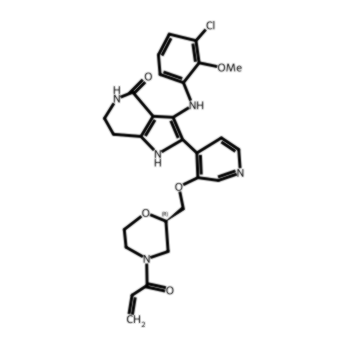 C=CC(=O)N1CCO[C@@H](COc2cnccc2-c2[nH]c3c(c2Nc2cccc(Cl)c2OC)C(=O)NCC3)C1